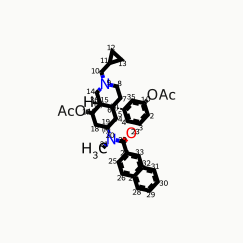 CC(=O)Oc1cccc([C@@]23CCN(CC4CC4)C[C@H]2C(OC(C)=O)C[C@H](N(C)C(=O)c2ccc4ccccc4c2)C3)c1